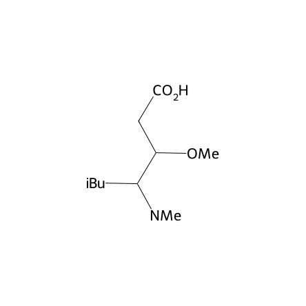 CCC(C)C(NC)C(CC(=O)O)OC